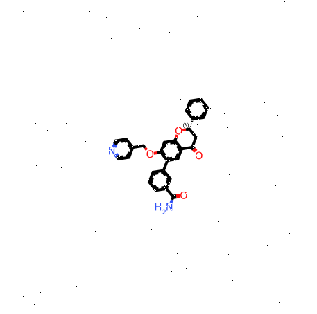 NC(=O)c1cccc(-c2cc3c(cc2OCc2ccncc2)O[C@H](c2ccccc2)CC3=O)c1